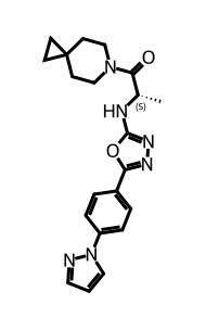 C[C@H](Nc1nnc(-c2ccc(-n3cccn3)cc2)o1)C(=O)N1CCC2(CC1)CC2